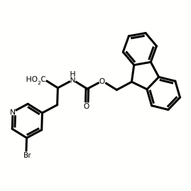 O=C(NC(Cc1cncc(Br)c1)C(=O)O)OCC1c2ccccc2-c2ccccc21